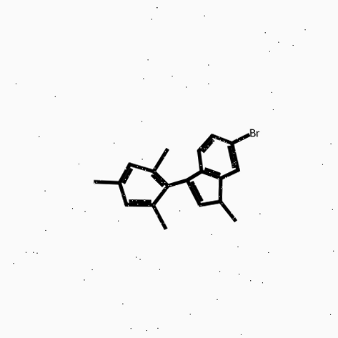 Cc1cc(C)c(C2=CC(C)c3cc(Br)ccc32)c(C)c1